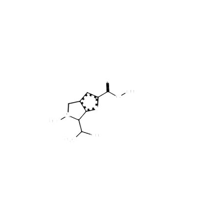 COC(=O)c1cc2c(s1)C(C(C)C)N(C)C2